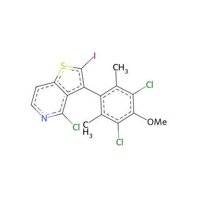 COc1c(Cl)c(C)c(-c2c(I)sc3ccnc(Cl)c23)c(C)c1Cl